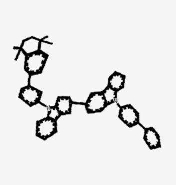 CC1(C)CCC(C)(C)c2cc(-c3cccc(-n4c5ccccc5c5cc(-c6ccc7c(c6)c6ccccc6n7-c6ccc(-c7ccccc7)cc6)ccc54)c3)ccc21